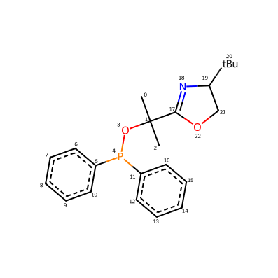 CC(C)(OP(c1ccccc1)c1ccccc1)C1=NC(C(C)(C)C)CO1